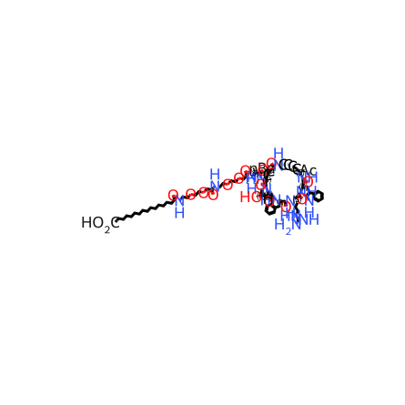 CCCC[C@H](NC(=O)COCCOCCNC(=O)COCCOCCNC(=O)CCCCCCCCCCCCCCC(=O)O)C(=O)N[C@H]1CCC(=O)NCCCC[C@@H](C(C)=O)NC(=O)[C@H](Cc2c[nH]c3ccccc23)NC(=O)[C@H](CCCNC(=N)N)NC(=O)[C@@H](Cc2ccccc2)NC(=O)[C@@H]2C[C@@H](O)CN2C1=O